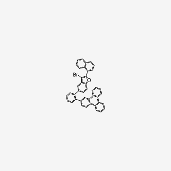 Brc1c(-c2cccc3ccccc23)oc2ccc(-c3ccccc3-c3ccc4c5ccccc5c5ccccc5c4c3)cc12